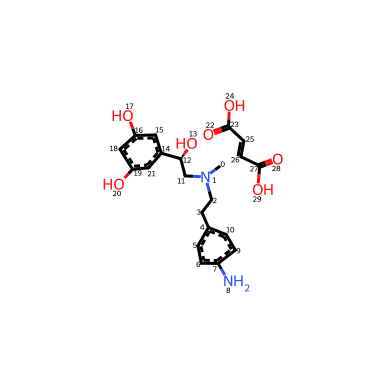 CN(CCc1ccc(N)cc1)C[C@H](O)c1cc(O)cc(O)c1.O=C(O)/C=C/C(=O)O